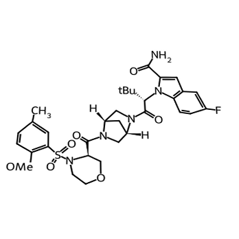 COc1ccc(C)cc1S(=O)(=O)N1CCOC[C@@H]1C(=O)N1C[C@@H]2C[C@H]1CN2C(=O)[C@@H](n1c(C(N)=O)cc2cc(F)ccc21)C(C)(C)C